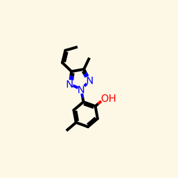 C/C=C\c1nn(-c2cc(C)ccc2O)nc1C